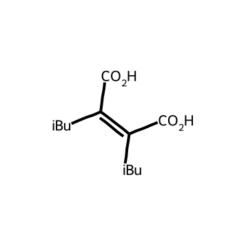 CCC(C)/C(C(=O)O)=C(/C(=O)O)C(C)CC